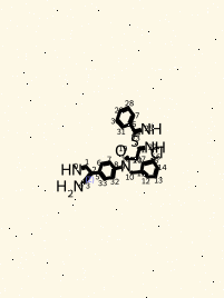 N=C/C(=C\N)c1ccc(N(Cc2cccc(Cl)c2)C(=O)CC(=N)SC(=N)c2ccccc2)cc1